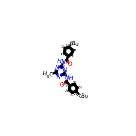 Cc1nc(NC(=O)c2ccc(C(C)(C)C)cc2)nc(NC(=O)c2ccc(C(C)(C)C)cc2)n1